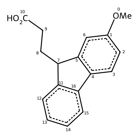 COc1ccc2c(c1)C(CCC(=O)O)c1ccccc1-2